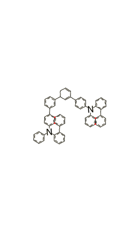 C1=CC(c2ccc(N(c3ccccc3)c3ccccc3-c3ccccc3)cc2)=CC(c2cccc(-c3ccc(N(c4ccccc4)c4ccccc4-c4ccccc4)cc3)c2)C1